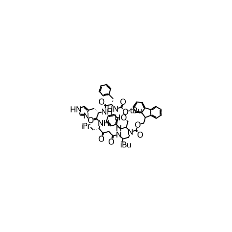 CCC(C)C(CN(C(=O)OCC1c2ccccc2-c2ccccc21)C(CO)Cc1ccccc1)NC(=O)CC(=O)[C@H](CC(C)C)NC(=O)[C@H](Cc1c[nH]cn1)NC(=O)[C@H](Cc1ccccc1)NC(=O)OC(C)(C)C